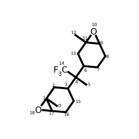 CC12CC(C(C)(C3CCC4OC4(C)C3)C(F)(F)F)CCC1O2